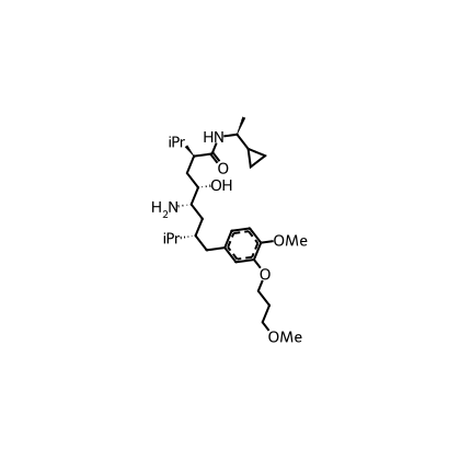 COCCCOc1cc(C[C@@H](C[C@H](N)[C@@H](O)C[C@H](C(=O)N[C@@H](C)C2CC2)C(C)C)C(C)C)ccc1OC